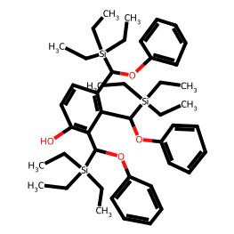 CC[Si](CC)(CC)C(Oc1ccccc1)c1ccc(O)c(C(Oc2ccccc2)[Si](CC)(CC)CC)c1C(Oc1ccccc1)[Si](CC)(CC)CC